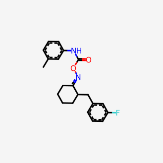 Cc1cccc(NC(=O)ON=C2CCCCC2Cc2cccc(F)c2)c1